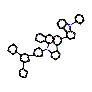 c1ccc(-c2cc(-c3ccccc3)cc(-c3ccc(N(c4ccccc4-c4cccc(-c5cccc6c5c5ccccc5n6-c5ccccc5)c4)c4cccc5ccccc45)cc3)c2)cc1